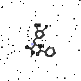 COC(=O)/C(=C/c1ccc(F)c(O)c1)NC(=O)c1ccccc1